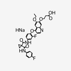 CCOc1cc2c(Oc3ccc(NC(=O)C4(C(=O)Nc5ccc(F)cc5)CC4)cc3F)ccnc2cc1OCCC(=O)O.[NaH]